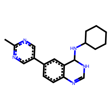 Cc1ncc(-c2ccc3c(c2)C(NC2CCCCC2)NC=N3)cn1